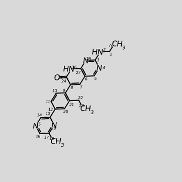 CCNc1ncc2cc(-c3ccc(-c4cncc(C)n4)cc3CC)c(=O)[nH]c2n1